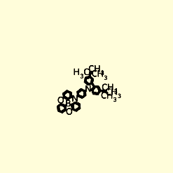 CC(C)(C)c1ccc2c(c1)c1cc(C(C)(C)C)ccc1n2-c1ccc(N2c3cccc4c3B3c5c(cccc5Oc5cccc2c53)O4)cc1